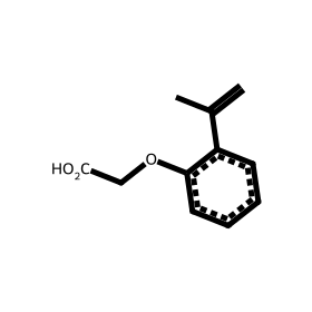 C=C(C)c1ccccc1OCC(=O)O